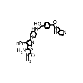 CCCc1cc(N2CCC(NCC(O)c3ccc(C(=O)NCc4cccnc4)cc3)CC2)nc2sc(C(N)=O)c(N)c12